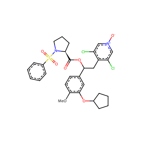 COc1ccc(C(Cc2c(Cl)c[n+]([O-])cc2Cl)OC(=O)[C@@H]2CCCN2S(=O)(=O)c2ccccc2)cc1OC1CCCC1